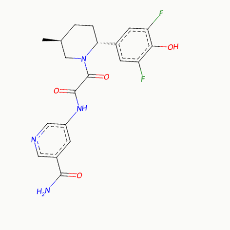 C[C@H]1CC[C@H](c2cc(F)c(O)c(F)c2)N(C(=O)C(=O)Nc2cncc(C(N)=O)c2)C1